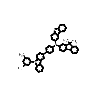 Cc1cc(C)cc(-n2c3ccccc3c3cc(-c4ccc(N(c5ccc6c(c5)C(C)(C)c5ccccc5-6)c5ccc6sc7ccccc7c6c5)cc4)ccc32)c1